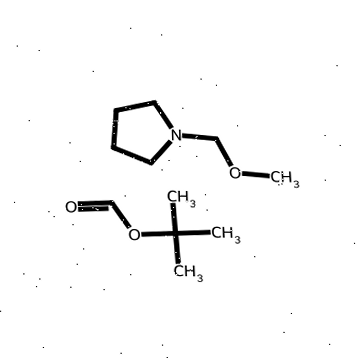 CC(C)(C)OC=O.COCN1CCCC1